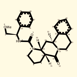 COC[C@H](NC(=O)N1CCC[C@H]2C(=O)N3CCc4ccccc4[C@@H]3C[C@H]21)c1ccccc1